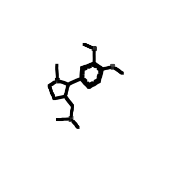 COc1ccc(C2C(CN(C)C)CCN2C)cc1OC